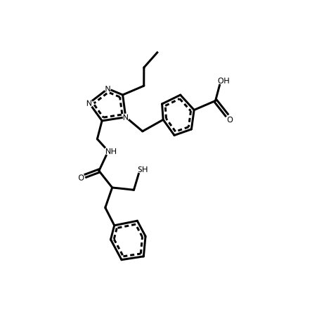 CCCc1nnc(CNC(=O)C(CS)Cc2ccccc2)n1Cc1ccc(C(=O)O)cc1